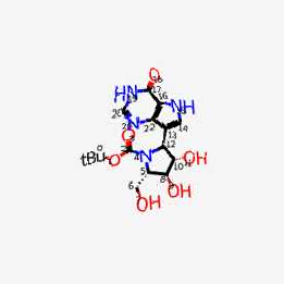 CC(C)(C)OC(=O)N1[C@@H](CO)[C@H](O)[C@@H](O)[C@@H]1c1c[nH]c2c(=O)[nH]cnc12